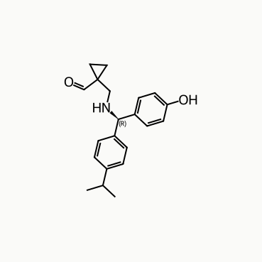 CC(C)c1ccc([C@@H](NCC2(C=O)CC2)c2ccc(O)cc2)cc1